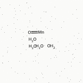 O.O.O.O.[O]=[Mn]